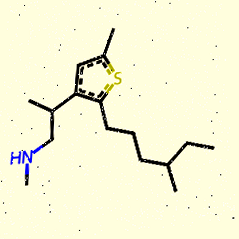 CCC(C)CCCc1sc(C)cc1C(C)CNC